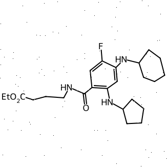 CCOC(=O)CCCNC(=O)c1cc(F)c(NC2CCCCC2)cc1NC1CCCC1